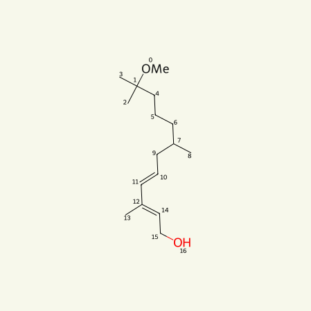 COC(C)(C)CCCC(C)CC=CC(C)=CCO